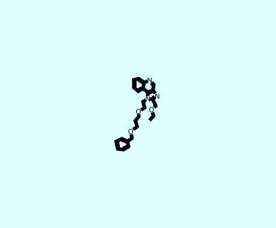 CCOCc1nc2cnc3ccccc3c2n1CCOCCCOCc1ccccc1